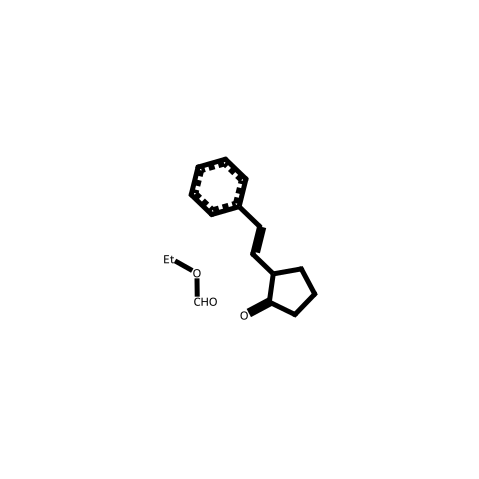 CCOC=O.O=C1CCCC1C=Cc1ccccc1